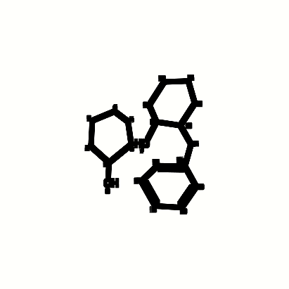 OC1CCCCC1.OC1CCCCC1Cc1ccccc1